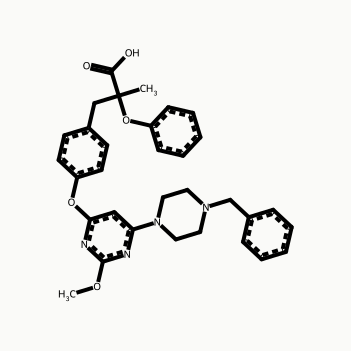 COc1nc(Oc2ccc(CC(C)(Oc3ccccc3)C(=O)O)cc2)cc(N2CCN(Cc3ccccc3)CC2)n1